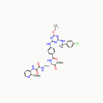 COC(=O)[C@H](CCNC(=O)C(=O)Nc1cccnc1OC)NC(=O)c1ccc(Nc2nc(NC3(c4ccc(Cl)cc4)CC3)nc(OCC(F)(F)F)n2)cc1